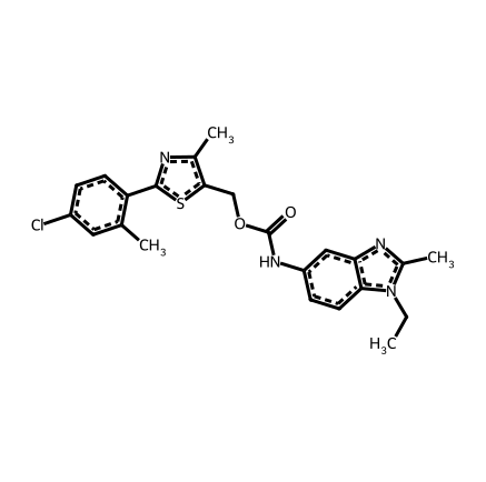 CCn1c(C)nc2cc(NC(=O)OCc3sc(-c4ccc(Cl)cc4C)nc3C)ccc21